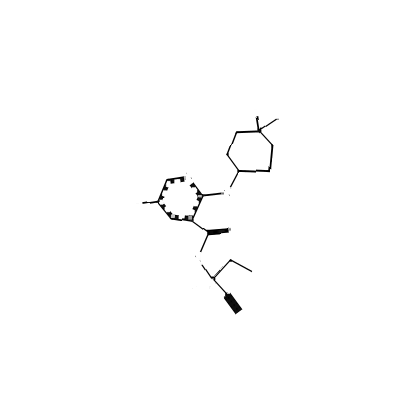 C#C[C@](C)(CC)NC(=O)c1cc(F)cnc1NC1CCC(F)(F)CC1